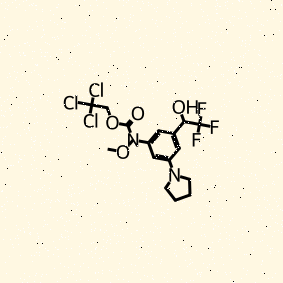 CON(C(=O)OCC(Cl)(Cl)Cl)c1cc(C(O)C(F)(F)F)cc(N2CCCC2)c1